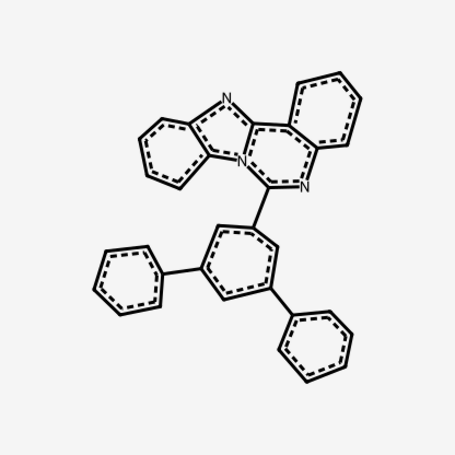 c1ccc(-c2cc(-c3ccccc3)cc(-c3nc4ccccc4c4nc5ccccc5n34)c2)cc1